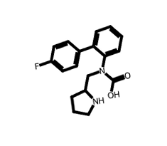 O=C(O)N(CC1CCCN1)c1ccccc1-c1ccc(F)cc1